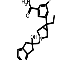 CCC1(c2cc(F)cc(C(N)=O)c2)C2CN(CC3(O)Cc4ccccc4C3)CC21